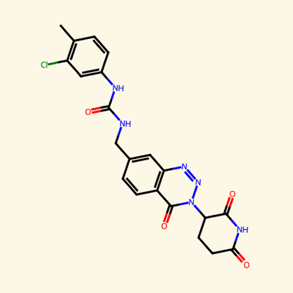 Cc1ccc(NC(=O)NCc2ccc3c(=O)n(C4CCC(=O)NC4=O)nnc3c2)cc1Cl